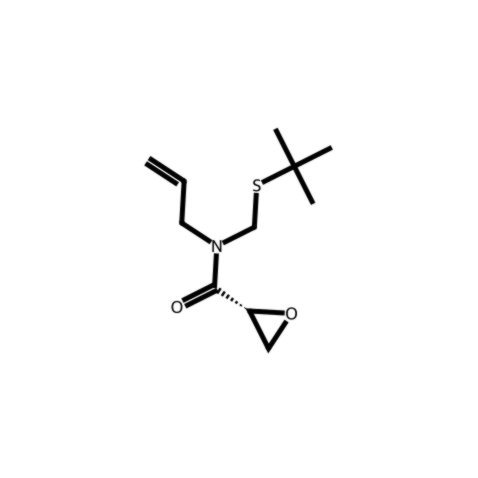 C=CCN(CSC(C)(C)C)C(=O)[C@H]1CO1